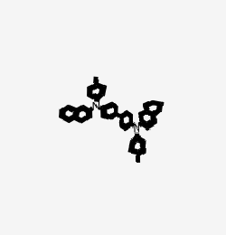 Cc1ccc(N(c2ccc(-c3ccc(N(c4ccc(C)cc4)c4ccc5ccccc5c4)cc3)cc2)c2ccc3ccccc3c2)cc1